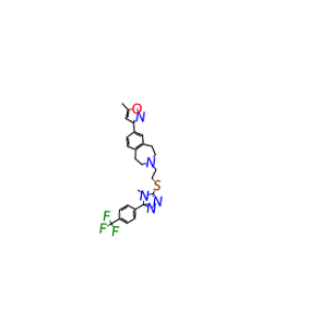 Cc1cc(-c2ccc3c(c2)CCN(CCSc2nnc(-c4ccc(C(F)(F)F)cc4)n2C)CC3)no1